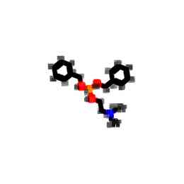 CC(C)N(CCOP(OCc1ccccc1)OCc1ccccc1)C(C)C